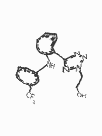 OCCn1nnc(-c2ccccc2Nc2cccc(C(F)(F)F)c2)n1